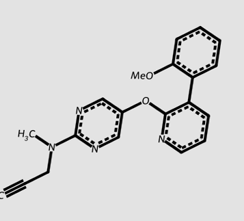 C#CCN(C)c1ncc(Oc2ncccc2-c2ccccc2OC)cn1